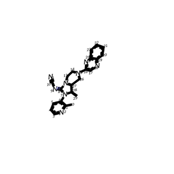 Cc1ncccc1N1/C(=N/C#N)N2CCN(c3cnc4ccccc4n3)CC2C1C